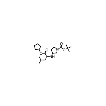 CC(C)C[C@H](NC1CCN(C(=O)OC(C)(C)C)C1)C(=O)OC1CCCC1